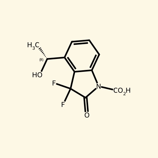 C[C@@H](O)c1cccc2c1C(F)(F)C(=O)N2C(=O)O